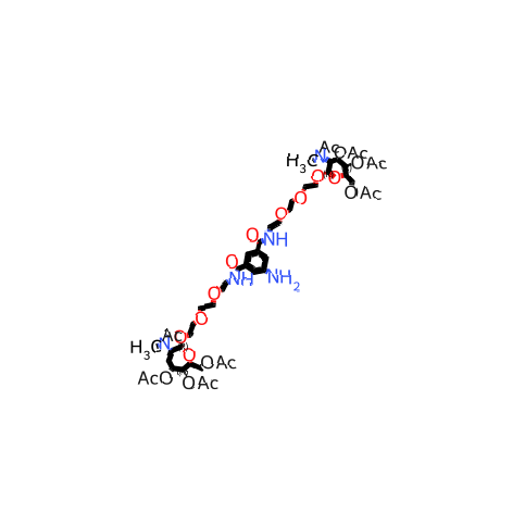 CC(=O)OCC1O[C@@H](OCCOCCOCCNC(=O)c2cc(N)cc(C(=O)NCCOCCOCCO[C@@H]3OC(COC(C)=O)[C@H](OC(C)=O)C(OC(C)=O)C3N(C)C(C)=O)c2)C(N(C)C(C)=O)CC(OC(C)=O)[C@H]1OC(C)=O